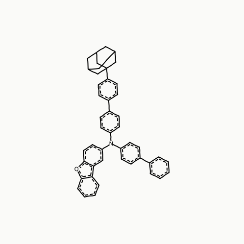 c1ccc(-c2ccc(N(c3ccc(-c4ccc(C56CC7CC(CC(C7)C5)C6)cc4)cc3)c3ccc4oc5ccccc5c4c3)cc2)cc1